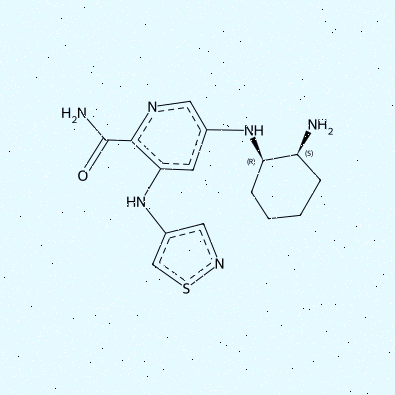 NC(=O)c1ncc(N[C@@H]2CCCC[C@@H]2N)cc1Nc1cnsc1